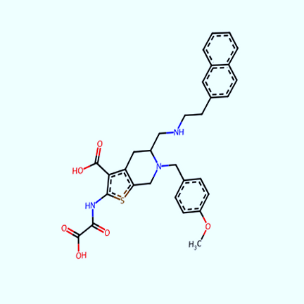 COc1ccc(CN2Cc3sc(NC(=O)C(=O)O)c(C(=O)O)c3CC2CNCCc2ccc3ccccc3c2)cc1